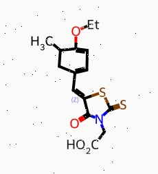 CCOC1=CC=C(/C=C2\SC(=S)N(CC(=O)O)C2=O)CC1C